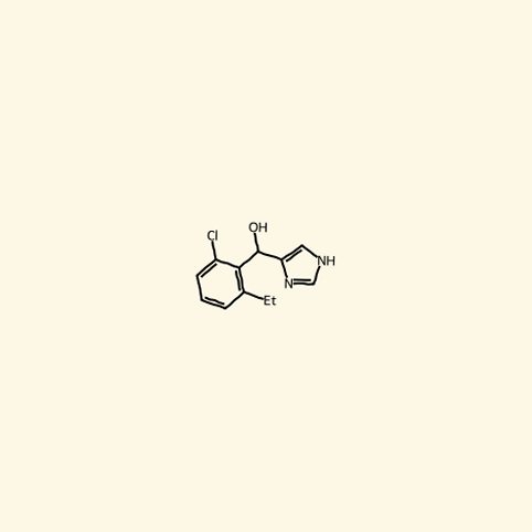 CCc1cccc(Cl)c1C(O)c1c[nH]cn1